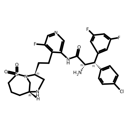 N[C@H](C(=O)Nc1cncc(F)c1CC[C@H]1CN[C@@H]2CCCS(=O)(=O)N1C2)[C@@H](c1ccc(Cl)cc1)c1cc(F)cc(F)c1